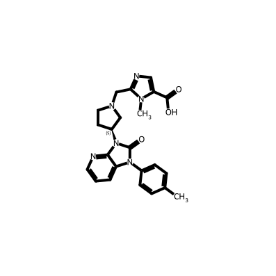 Cc1ccc(-n2c(=O)n([C@H]3CCN(Cc4ncc(C(=O)O)n4C)C3)c3ncccc32)cc1